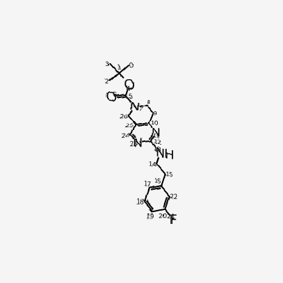 CC(C)(C)OC(=O)N1CCc2nc(NCCc3cccc(F)c3)ncc2C1